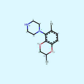 CCc1ccc2c(c1N1CCNCC1)OCC(CC)O2